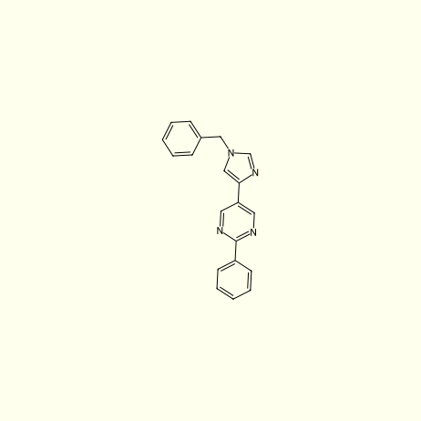 c1ccc(Cn2cnc(-c3cnc(-c4ccccc4)nc3)c2)cc1